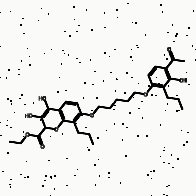 CCCc1c(OCCCCCOc2ccc3c(c2CCC)OC(C(=O)OCC)C(O)=C3O)ccc(C(C)=O)c1O